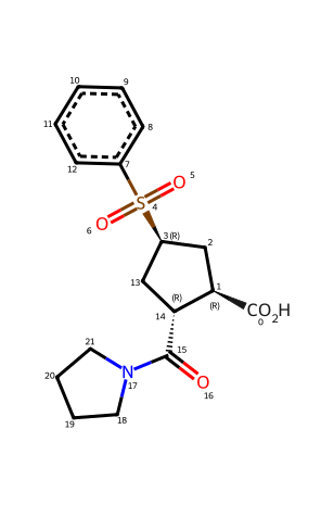 O=C(O)[C@@H]1C[C@H](S(=O)(=O)c2ccccc2)C[C@H]1C(=O)N1CCCC1